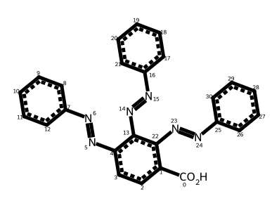 O=C(O)c1ccc(N=Nc2ccccc2)c(N=Nc2ccccc2)c1N=Nc1ccccc1